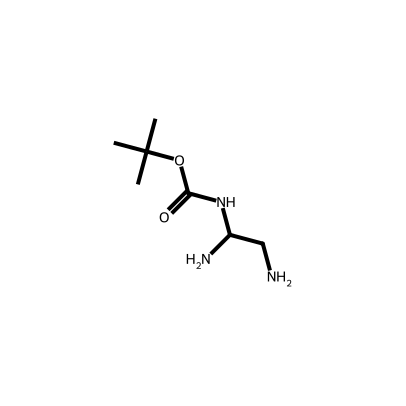 CC(C)(C)OC(=O)NC(N)CN